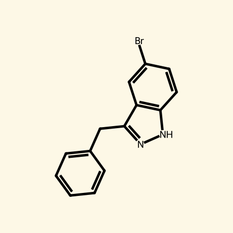 Brc1ccc2[nH]nc(Cc3ccccc3)c2c1